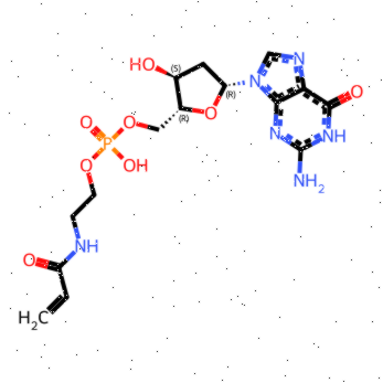 C=CC(=O)NCCOP(=O)(O)OC[C@H]1O[C@@H](n2cnc3c(=O)[nH]c(N)nc32)C[C@@H]1O